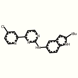 CC(C)(C)c1cc2cc(Nc3nccc(-c4cc(Cl)ccn4)n3)ccc2[nH]1